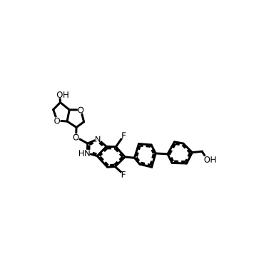 OCc1ccc(-c2ccc(-c3c(F)cc4[nH]c(OC5COC6C(O)COC56)nc4c3F)cc2)cc1